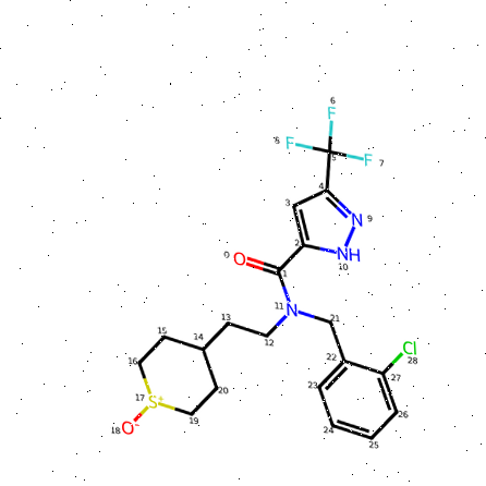 O=C(c1cc(C(F)(F)F)n[nH]1)N(CCC1CC[S+]([O-])CC1)Cc1ccccc1Cl